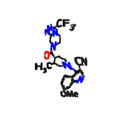 COc1ccc2c(N3CC[C@H](C(=O)N4CCn5c(nnc5C(F)(F)F)C4)[C@H](C)C3)c(C#N)cnc2c1